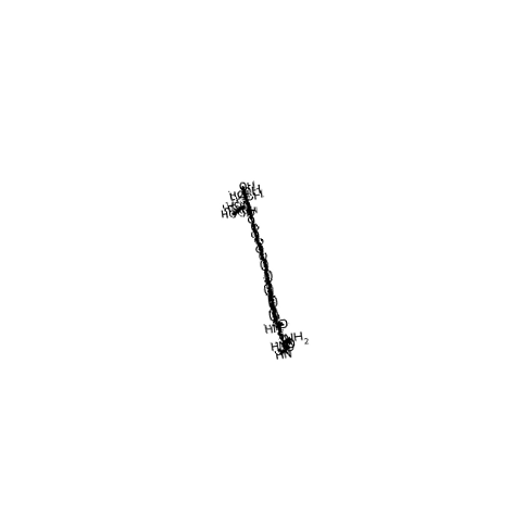 CN[C@H](C(=O)N[C@@H](CCCCNC(=O)CCOCCOCCOCCOCCOCCOCCOCCOCCOCCOCCOCCOCCN(C[C@H](O)[C@@H](O)[C@H](O)[C@H](O)CO)C[C@H](O)[C@@H](O)[C@H](O)[C@H](O)CO)C(N)=O)C(C)C